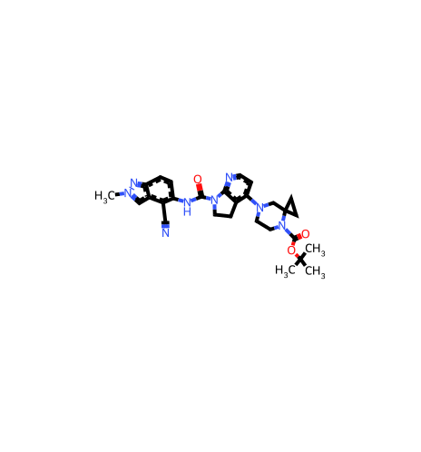 Cn1cc2c(C#N)c(NC(=O)N3CCc4c(N5CCN(C(=O)OC(C)(C)C)C6(CC6)C5)ccnc43)ccc2n1